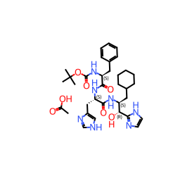 CC(=O)O.CC(C)(C)OC(=O)N[C@@H](Cc1ccccc1)C(=O)N[C@@H](Cc1c[nH]cn1)C(=O)N[C@@H](CC1CCCCC1)[C@@H](O)c1ncc[nH]1